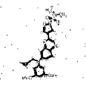 COc1cc(OC)cc(N(CC2CC2)c2ccc3ncc(-c4cnn(S(=O)(=O)N(C)C)c4)nc3c2)c1